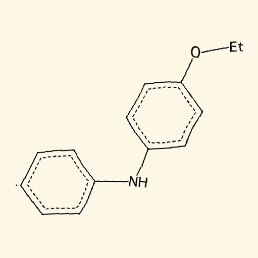 CCOc1ccc(Nc2cc[c]cc2)cc1